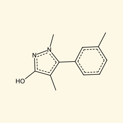 Cc1cccc(-c2c(C)c(O)nn2C)c1